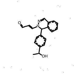 CC(O)c1ccc(C2c3ccccc3C=NN2C=CC=O)cc1